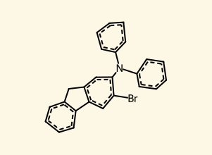 Brc1cc2c(cc1N(c1ccccc1)c1ccccc1)Cc1ccccc1-2